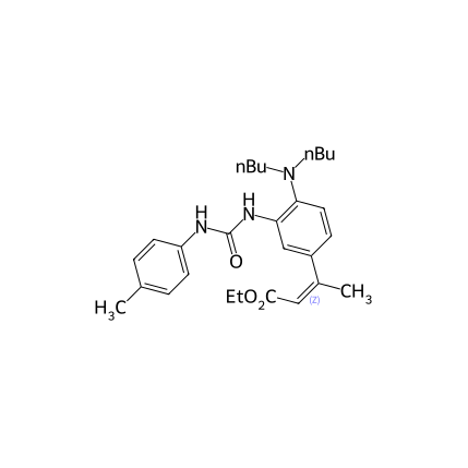 CCCCN(CCCC)c1ccc(/C(C)=C\C(=O)OCC)cc1NC(=O)Nc1ccc(C)cc1